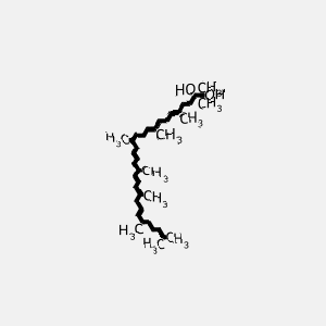 CC(C)=CCCC(C)/C=C/C/C(C)=C/C=C/C(C)=C/C=C/C=C(\C)CC/C=C(\C)CC/C=C(\C)CCC(O)C(C)(C)O